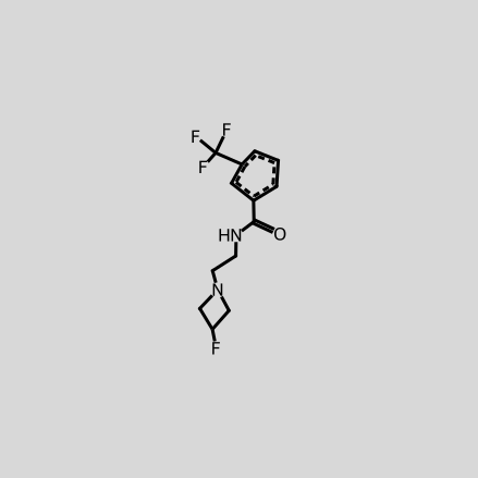 O=C(NCCN1CC(F)C1)c1cccc(C(F)(F)F)c1